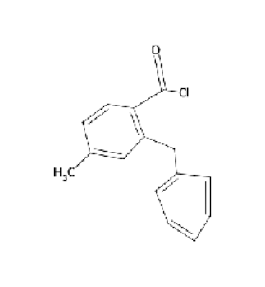 Cc1ccc(C(=O)Cl)c(Cc2ccccc2)c1